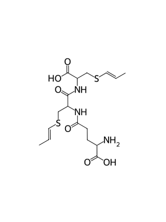 CC=CSCC(NC(=O)C(CSC=CC)NC(=O)CCC(N)C(=O)O)C(=O)O